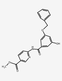 COC(=O)c1ccc(NC(=O)c2cc(O)cc(OCc3ccccc3)c2)nc1